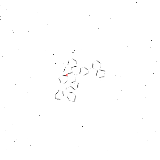 c1ccc([Si]2(c3cccc(N(c4ccc(-c5cccc6ccccc56)cc4)c4cccc5ccccc45)c3)c3ccccc3Oc3ccccc32)cc1